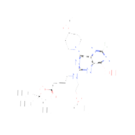 COCCN(CCCC(=O)OC(C)(C)C)c1nc(N2CCC(OC)CC2)c2nc(Cl)nc(O)c2n1